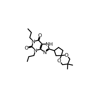 CCCn1c(=O)c2[nH]c(C3CCC4(C3)OCC(C)(C)CO4)nc2n(CCC)c1=O